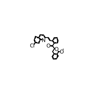 COC(=O)c1ccccc1CCC(=O)c1ccccc1C=Cc1ccc2ccc(Cl)cc2n1